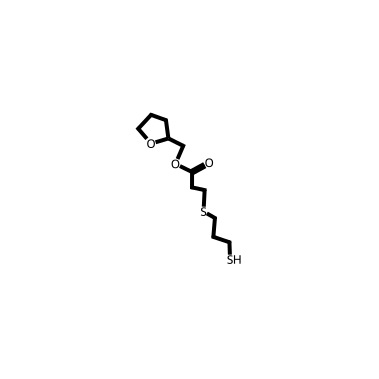 O=C(CCSCCCS)OCC1CCCO1